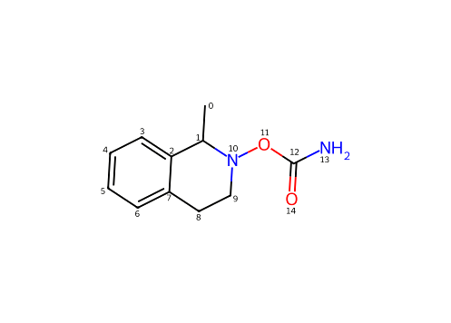 CC1c2ccccc2CCN1OC(N)=O